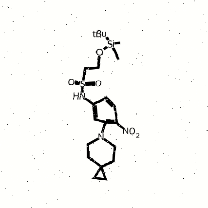 CC(C)(C)[Si](C)(C)OCCS(=O)(=O)Nc1ccc([N+](=O)[O-])c(N2CCC3(CC2)CC3)c1